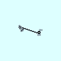 CS(=O)(=O)OC(CCCCCCCCCCCCCCc1cc(O)ccc1O)OS(C)(=O)=O